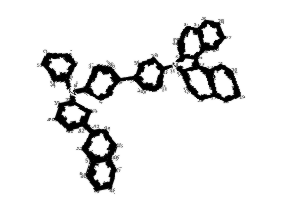 c1ccc(N(c2ccc(-c3ccc(-n4c5ccc6ccccc6c5c5c6ccccc6ccc54)cc3)cc2)c2cccc(-c3ccc4ccccc4c3)c2)cc1